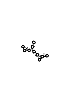 CC1(C)c2cc(N(c3ccc(-c4ccccc4)cc3)c3ccc(-c4ccc(-n5c6ccccc6c6cc7c(cc65)oc5ccccc57)cc4)cc3)ccc2-c2cccc(-c3ccccc3)c21